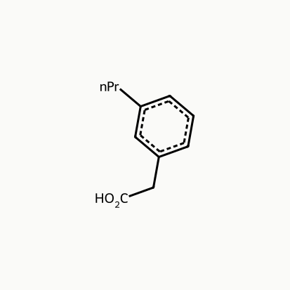 CCCc1cccc(CC(=O)O)c1